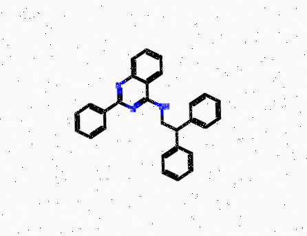 c1ccc(-c2nc(NCC(c3ccccc3)c3ccccc3)c3ccccc3n2)cc1